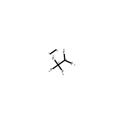 CC.FC(F)C(F)(F)F